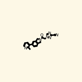 Cc1ncccc1-c1ccc2c(c1)CN(C(=O)Cn1cnc(C#N)n1)C2